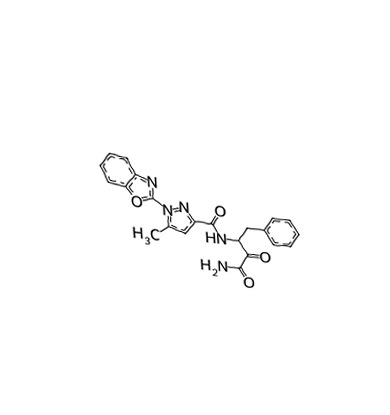 Cc1cc(C(=O)NC(Cc2ccccc2)C(=O)C(N)=O)nn1-c1nc2ccccc2o1